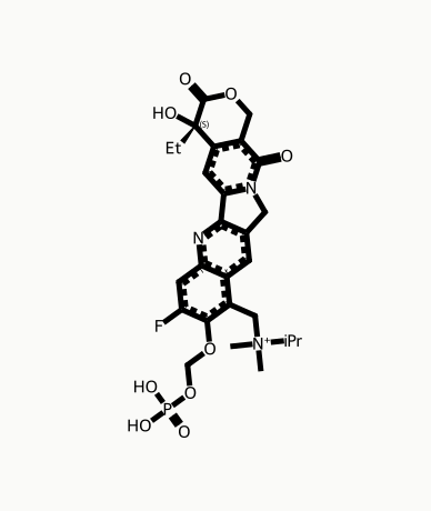 CC[C@@]1(O)C(=O)OCc2c1cc1n(c2=O)Cc2cc3c(C[N+](C)(C)C(C)C)c(OCOP(=O)(O)O)c(F)cc3nc2-1